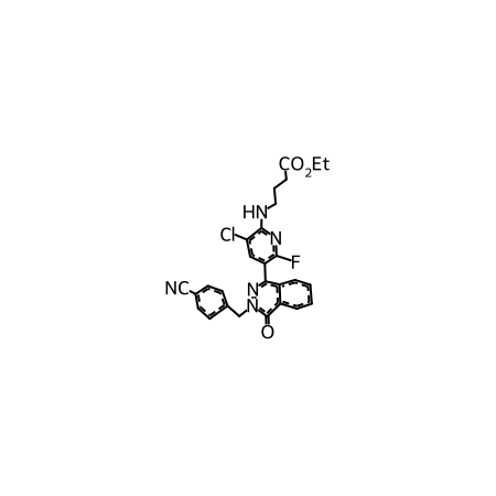 CCOC(=O)CCCNc1nc(F)c(-c2nn(Cc3ccc(C#N)cc3)c(=O)c3ccccc23)cc1Cl